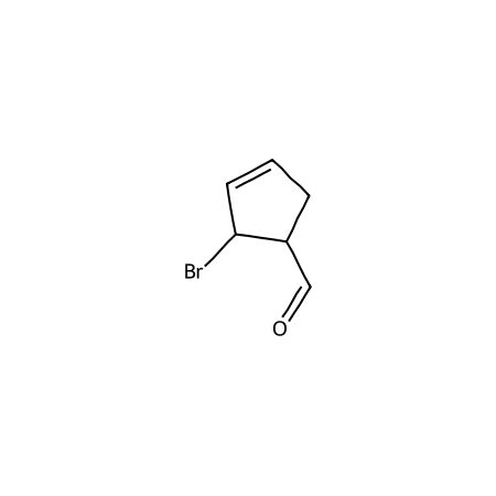 O=CC1CC=CC1Br